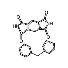 O=c1[nH]c(=O)c2cc3c(=O)[nH]c(=O)c3cc12.c1ccc(Cc2ccccc2)cc1